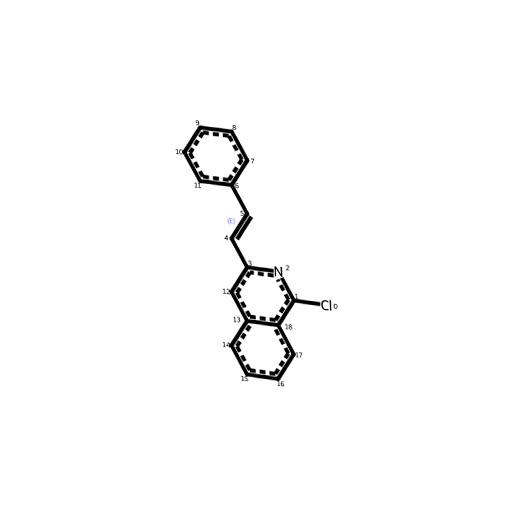 Clc1nc(/C=C/c2ccccc2)cc2ccccc12